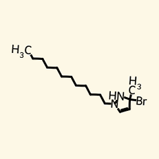 CCCCCCCCCCCCN1C=CC(C)(Br)N1